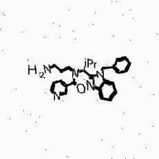 CC(C)[C@H](c1nc2ccccc2n1Cc1ccccc1)N(CCCN)C(=O)c1cccnc1